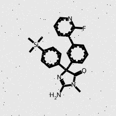 CN1C(=O)C(c2ccc([Si](C)(C)C)cc2)(c2cccc(-c3cccnc3F)c2)N=C1N